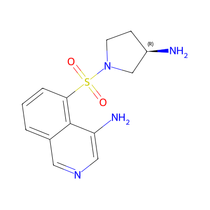 Nc1cncc2cccc(S(=O)(=O)N3CC[C@@H](N)C3)c12